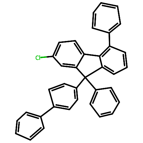 Clc1ccc2c(c1)C(c1ccccc1)(c1ccc(-c3ccccc3)cc1)c1cccc(-c3ccccc3)c1-2